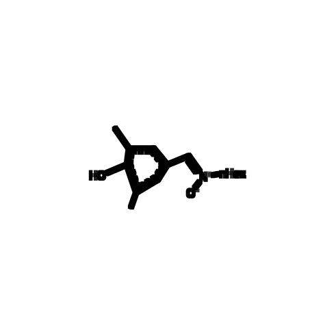 CCCCCC[N+]([O-])=Cc1cc(C)c(O)c(C)c1